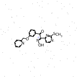 CSc1nccc(/C(=N\O)C(=O)c2cccc(OCc3ccccn3)c2)n1